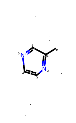 CC1=NC=C[N+]=C1